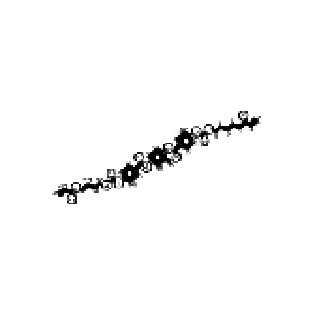 C=CC(=O)CCCCCOC(=O)Oc1ccc(C(=O)Oc2ccc(OC(=O)c3ccc(OC(=O)OCCCCOC(=O)C=C)cc3)cc2C)cc1